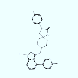 CC(C)n1cc(CC2CCC3(CC2)CC(c2ccc(F)cc2)C(=O)N3)c2c(-c3ccc(F)nc3)cccc21